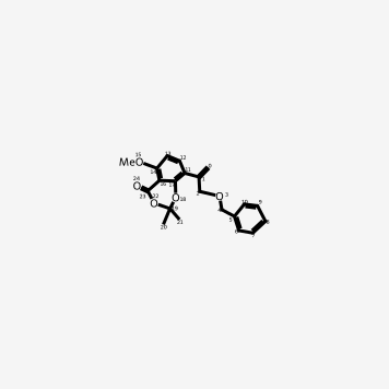 C=C(COCc1ccccc1)c1ccc(OC)c2c1OC(C)(C)OC2=O